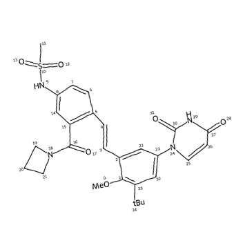 COc1c(C=Cc2ccc(NS(C)(=O)=O)cc2C(=O)N2CCC2)cc(-n2ccc(=O)[nH]c2=O)cc1C(C)(C)C